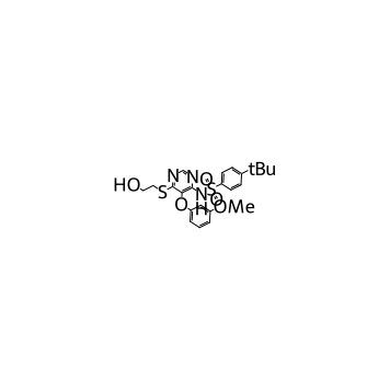 COc1cccc(Oc2c(NS(=O)(=O)c3ccc(C(C)(C)C)cc3)ncnc2SCCO)c1